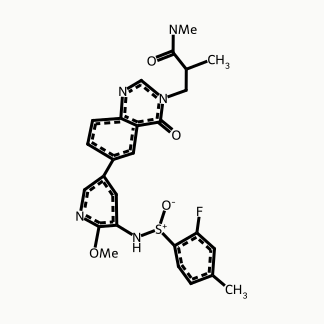 CNC(=O)C(C)Cn1cnc2ccc(-c3cnc(OC)c(N[S+]([O-])c4ccc(C)cc4F)c3)cc2c1=O